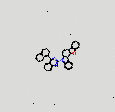 C1=c2ccccc2=C(c2nc(-n3c4ccccc4c4c5oc6ccccc6c5ccc43)nc3c2=CCCC=3)CC1